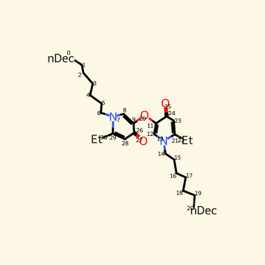 CCCCCCCCCCCCCCCCn1cc(Oc2cn(CCCCCCCCCCCCCCCC)c(CC)cc2=O)c(=O)cc1CC